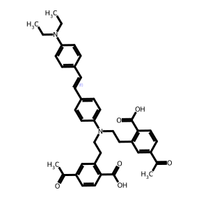 CCN(CC)c1ccc(/C=C/c2ccc(N(CCc3cc(C(C)=O)ccc3C(=O)O)CCc3cc(C(C)=O)ccc3C(=O)O)cc2)cc1